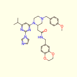 COc1ccc(CN2CCN(c3cc(C(C)C)nc(-n4ccnc4)n3)C(CC(=O)NCc3ccc4c(c3)OCCO4)C2)cc1